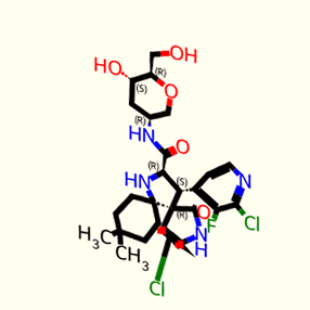 CC1(C)CCC2(CC1)N[C@@H](C(=O)N[C@H]1CO[C@H](CO)[C@@H](O)C1)[C@H](c1ccnc(Cl)c1F)[C@]21C(=O)Nc2cc(Cl)ccc21